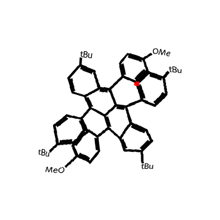 COc1ccc(-c2c3cc(C(C)(C)C)ccc3c(-c3ccc(C(C)(C)C)cc3)c3c(-c4ccc(OC)cc4)c4cc(C(C)(C)C)ccc4c(-c4ccc(C(C)(C)C)cc4)c23)cc1